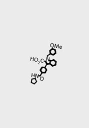 COc1cccc(Cn2c(C(=O)O)c(-c3ccc(C(=O)NC4CCCC4)cc3)c3ccccc32)c1